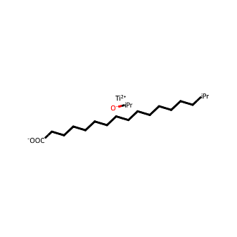 CC(C)CCCCCCCCCCCCCCC(=O)[O-].CC(C)[O-].[Ti+2]